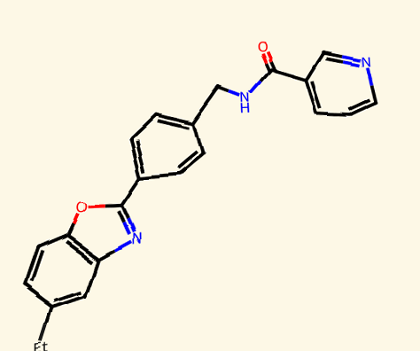 CCc1ccc2oc(-c3ccc(CNC(=O)c4cccnc4)cc3)nc2c1